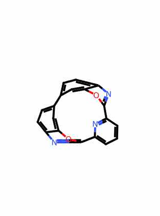 c1cc2nc(c1)-c1nc3ccc(cc3o1)-c1ccc3nc-2oc3c1